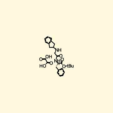 CC(C)(C)OC(=O)[C@H](Cc1ccccc1)NC(=O)CNC1Cc2ccccc2C1.O=C(O)C(=O)O